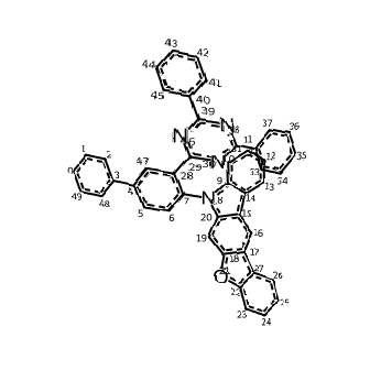 c1ccc(-c2ccc(-n3c4ccccc4c4cc5c(cc43)oc3ccccc35)c(-c3nc(-c4ccccc4)nc(-c4ccccc4)n3)c2)cc1